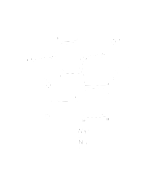 COC(=O)c1ccc([O-])cc1.O=C([O-])c1ccccc1.[Na+].[Na+]